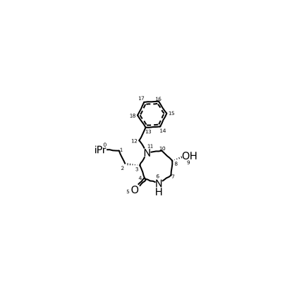 CC(C)CC[C@H]1C(=O)NC[C@@H](O)CN1Cc1ccccc1